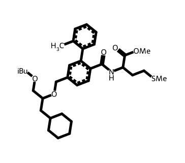 CCC(C)OCC(CC1CCCCC1)OCc1ccc(C(=O)NC(CCSC)C(=O)OC)c(-c2ccccc2C)c1